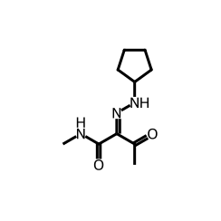 CNC(=O)/C(=N/NC1CCCC1)C(C)=O